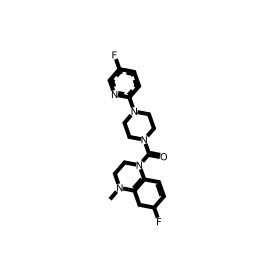 CN1CCN(C(=O)N2CCN(c3ccc(F)cn3)CC2)C2=C1CC(F)C=C2